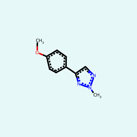 COc1ccc(-c2cnn(C)n2)cc1